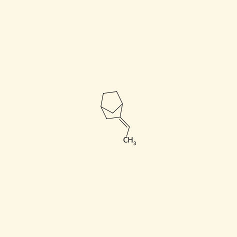 CC=C1CC2CCC1C2